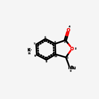 CCCCC1OC(=O)c2ccccc21.[K]